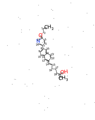 C=CCOc1ccc(-c2ccc3cc(/C=C/CCCC(C)O)ccc3c2)cn1